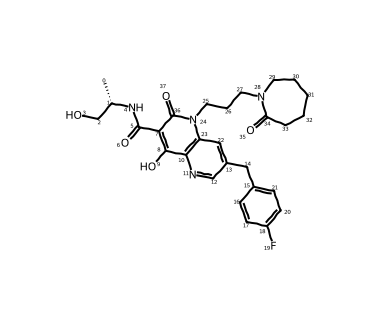 C[C@@H](CO)NC(=O)c1c(O)c2ncc(Cc3ccc(F)cc3)cc2n(CCCN2CCCCCC2=O)c1=O